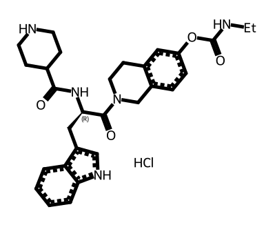 CCNC(=O)Oc1ccc2c(c1)CCN(C(=O)[C@@H](Cc1c[nH]c3ccccc13)NC(=O)C1CCNCC1)C2.Cl